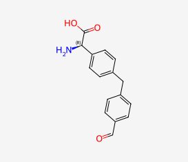 N[C@@H](C(=O)O)c1ccc(Cc2ccc(C=O)cc2)cc1